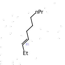 C[CH]CCCC/C=C/CC